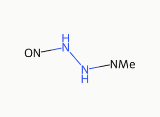 CNNNN=O